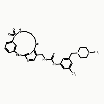 CN1CCN(Cc2cc(NC(=O)NCc3cnc4nc3NCCCNS(=O)(=O)c3cccc(c3)N4)cc(C(F)(F)F)c2)CC1